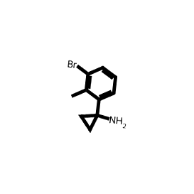 Cc1c(Br)cccc1C1(N)CC1